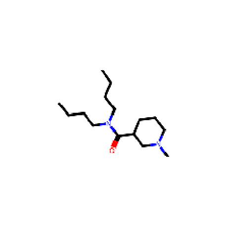 CCCCN(CCCC)C(=O)C1CCCN(C)C1